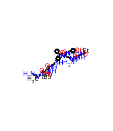 CCC(=O)NCCNC(=O)/N=C(/N)NCCC[C@@H](NC(=O)C(c1ccccc1)c1ccc(NCCCNC(=O)[C@@H](CCC(=O)NCCN(C)CCN)NC(=O)OC(C)(C)C)cc1)C(=O)NCc1ccc(O)cc1